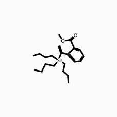 C=[C](c1ccccc1C(=O)OC)[Sn]([CH2]CCC)([CH2]CCC)[CH2]CCC